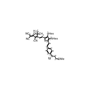 CCCCCCc1c(C=CC2=C(C#N)C(=C(C#N)C#N)OC2(C)C)sc(C=Cc2ccc(N(CC)CCOC)cc2)c1CCCCCC